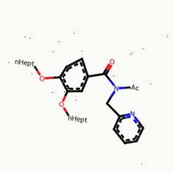 CCCCCCCOc1ccc(C(=O)N(Cc2ccccn2)C(C)=O)cc1OCCCCCCC